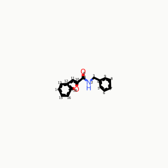 O=C(NCc1cc[c]cc1)c1cc2ccccc2o1